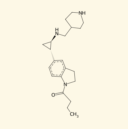 CCCC(=O)N1CCc2cc([C@@H]3C[C@H]3NCC3CCNCC3)ccc21